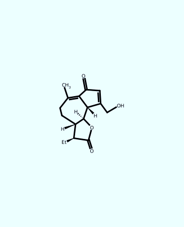 CC[C@@H]1C(=O)O[C@@H]2[C@H]3C(CO)=CC(=O)C3=C(C)CC[C@H]21